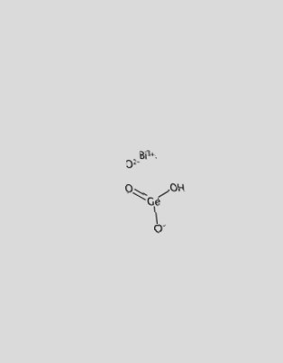 [Bi+3].[O-2].[O]=[Ge]([O-])[OH]